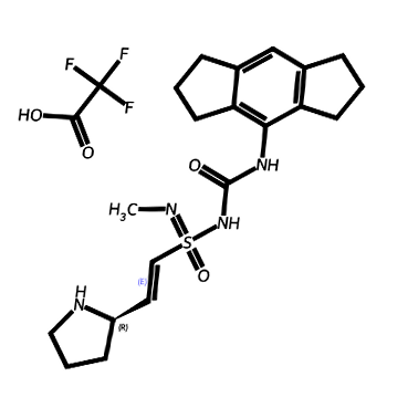 CN=S(=O)(/C=C/[C@H]1CCCN1)NC(=O)Nc1c2c(cc3c1CCC3)CCC2.O=C(O)C(F)(F)F